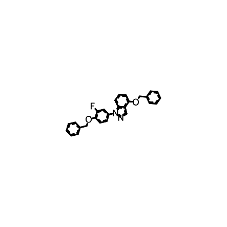 Fc1cc(-n2ncc3c(OCc4ccccc4)cccc32)ccc1OCc1ccccc1